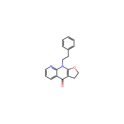 O=c1c2c(n(CCc3ccccc3)c3ncccc13)OCC2